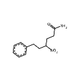 NC(=O)CCC(CCc1ccccc1)[N+](=O)[O-]